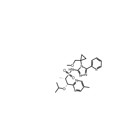 COCC1(n2c(NS(=O)(=O)[C@@H](C)[C@@H](OC(C)C)c3ncc(C)cn3)nnc2-c2ccccn2)CC1